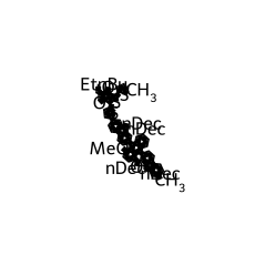 CCCCCCCCCCC1(CCCCCCCCCC)c2cc(C)ccc2-c2ccc(-c3c4ccccc4c(-c4ccc5c(c4)C(CCCCCCCCCC)(CCCCCCCCCC)c4cc(-c6ccc(-c7sc(-c8ccc(C)s8)c8c7C(=O)N(CC(CC)CCCC)C8=O)s6)ccc4-5)c4c(OC)ccc(CO)c34)cc21